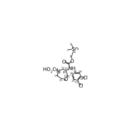 C[Si](C)(C)CCOC(=O)N[C@@H]1CN(C(=O)O)CCO[C@H]1c1ccc(Cl)c(Cl)c1